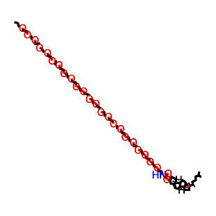 CCCOCCOCCOCCOCCOCCOCCOCCOCCOCCOCCOCCOCCOCCOCCOCCOCCOCCOCCOCCOCCOCCOCCOCCNC(=O)OC1CC[C@@]2(C)C(=CC[C@H]3[C@@H]4CC[C@H]([C@H](C)CCCC(C)C)[C@@]4(C)CC[C@@H]32)C1